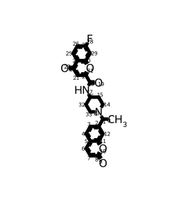 CC(c1ccc2ccc(=O)oc2c1)N1CCC(NC(=O)c2cc(=O)c3ccc(F)cc3o2)CC1